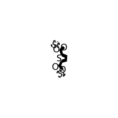 C[Si](C)(C)OC(=O)c1ccc(C(=O)O[Si](C)(C)C)s1